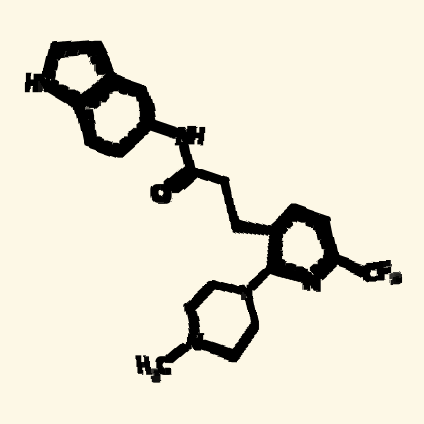 CN1CCN(c2nc(C(F)(F)F)ccc2CCC(=O)Nc2ccc3[nH]ccc3c2)CC1